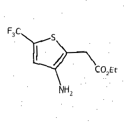 CCOC(=O)Cc1sc(C(F)(F)F)cc1N